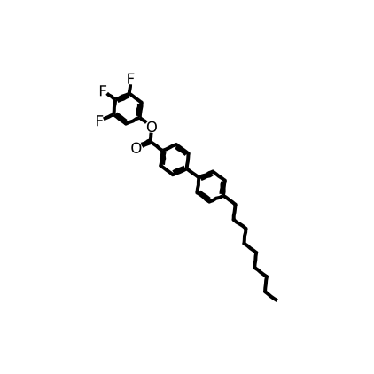 CCCCCCCCCc1ccc(-c2ccc(C(=O)Oc3cc(F)c(F)c(F)c3)cc2)cc1